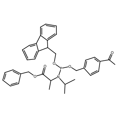 CC(=O)c1ccc(COP(OCC2c3ccccc3-c3ccccc32)N(C(C)C)C(C)C(=O)OCc2ccccc2)cc1